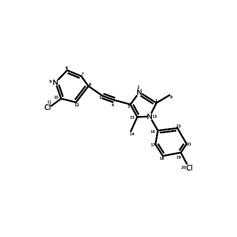 Cc1nc(C#Cc2ccnc(Cl)c2)c(C)n1-c1ccc(Cl)cc1